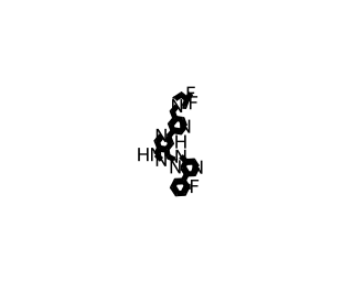 Fc1ccccc1-c1cncc2[nH]c(-c3n[nH]c4cnc(-c5cncc(CN6CCC(F)(F)C6)c5)cc34)nc12